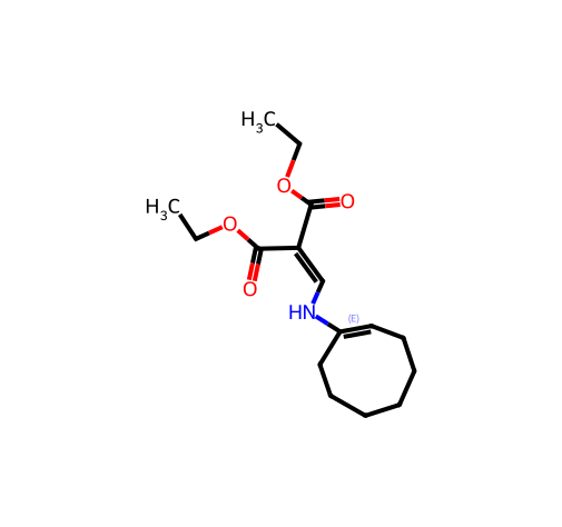 CCOC(=O)C(=CN/C1=C/CCCCCC1)C(=O)OCC